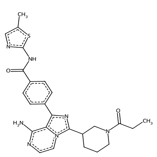 CCC(=O)N1CCCC(c2nc(-c3ccc(C(=O)Nc4ncc(C)s4)cc3)c3c(N)nccn23)C1